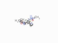 CCNC(=O)Nc1nc2c(F)c(-c3cnn(C(=O)OC(C)(C)C)c3)cc(-c3ccccn3)c2s1